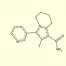 NC(=O)c1c(I)c(-c2cccnc2)n2c1CCCC2